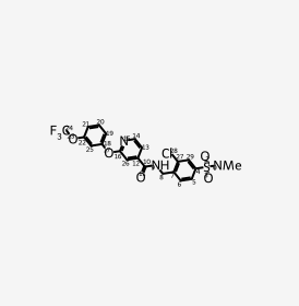 CNS(=O)(=O)c1ccc(CNC(=O)c2ccnc(Oc3cccc(OC(F)(F)F)c3)c2)c(Cl)c1